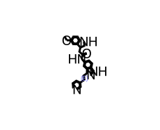 COc1ccc2c(c1)C(CC(=O)Nc1ccc3[nH]nc(/C=C/c4cccnc4)c3c1)CN2